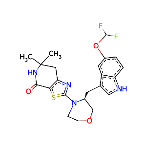 CC1(C)Cc2nc(N3CCOC[C@@H]3Cc3c[nH]c4ccc(OC(F)F)cc34)sc2C(=O)N1